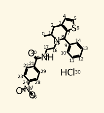 CC1Cc2ccsc2C(c2ccccc2)N1CCNC(=O)c1ccc([N+](=O)[O-])cc1.Cl